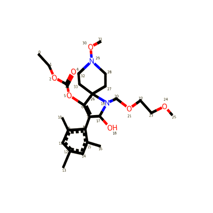 CCOC(=O)OC1=C(c2c(C)cc(C)cc2C)C(O)N(COCCOC)C12CCN(OC)CC2